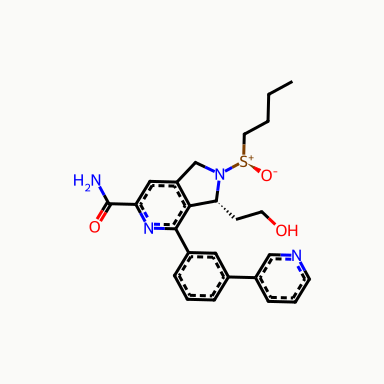 CCCC[S@@+]([O-])N1Cc2cc(C(N)=O)nc(-c3cccc(-c4cccnc4)c3)c2[C@H]1CCO